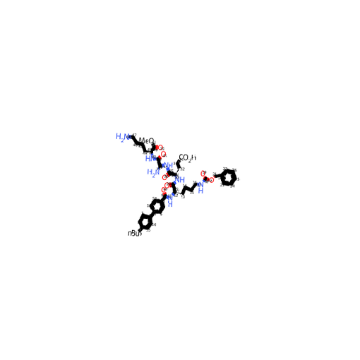 CCCCc1ccc(-c2ccc(C(=O)N[C@@H](CCCCNC(=O)OCc3ccccc3)C(=O)N[C@@H](CCC(=O)O)C(=O)N[C@@H](N)C(=O)N[C@@H](CCCCN)C(=O)OC)cc2)cc1